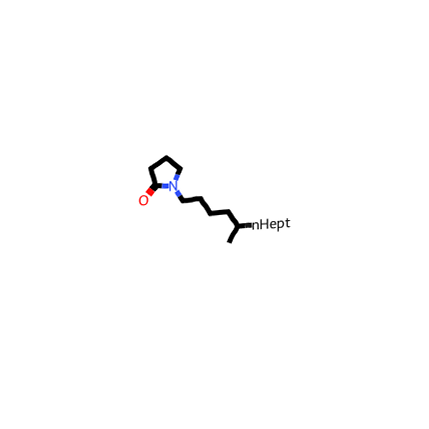 CCCCCCCC(C)CCCCN1CCCC1=O